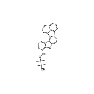 CC(C)(O)C(C)(C)OBc1cccc2c1oc1ccc3c(c12)-c1cccc2cccc-3c12